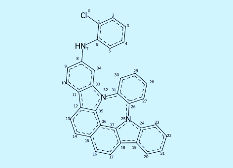 Clc1ccccc1Nc1ccc2c3ccc4ccc5c6ccccc6n6c7ccccc7n(c2c1)c3c4c56